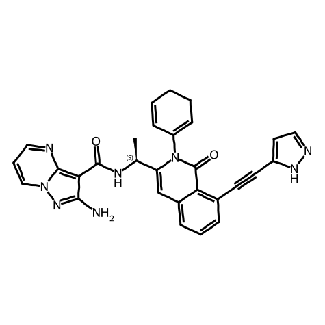 C[C@H](NC(=O)c1c(N)nn2cccnc12)c1cc2cccc(C#Cc3ccn[nH]3)c2c(=O)n1C1=CCCC=C1